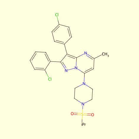 Cc1cc(N2CCN(S(=O)(=O)C(C)C)CC2)n2nc(-c3ccccc3Cl)c(-c3ccc(Cl)cc3)c2n1